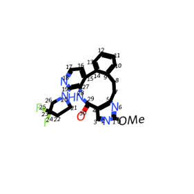 COc1ncc2c(n1)CCc1ccccc1-c1ccnc(N3CCC(F)(F)C3)c1NC2=O